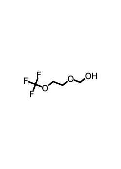 OCOCCOC(F)(F)F